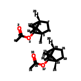 CC(=O)O[C@H]1C[C@@H]2CC[C@@]1(C)C2(C)C.CC(=O)O[C@H]1C[C@@H]2CC[C@@]1(C)C2(C)C